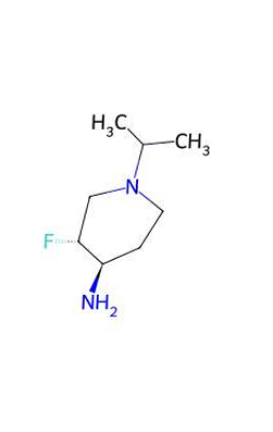 CC(C)N1CC[C@@H](N)[C@H](F)C1